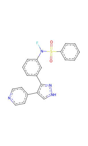 O=S(=O)(c1ccccc1)N(F)c1cccc(-c2n[nH]cc2-c2ccncc2)c1